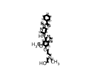 CCN(CCO)CCCOc1cc2ncnc(Nc3ccc(N(F)C(=O)c4ccccc4)nc3)c2cc1OC